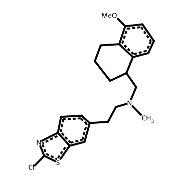 COc1cccc2c1CCCC2CN(C)CCc1ccc2nc(Cl)sc2c1